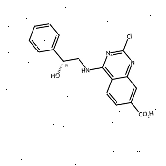 O=C(O)c1ccc2c(NC[C@H](O)c3ccccc3)nc(Cl)nc2c1